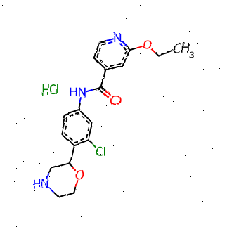 CCOc1cc(C(=O)Nc2ccc(C3CNCCO3)c(Cl)c2)ccn1.Cl